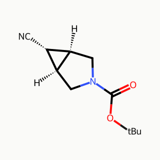 CC(C)(C)OC(=O)N1C[C@@H]2[C@@H](C#N)[C@@H]2C1